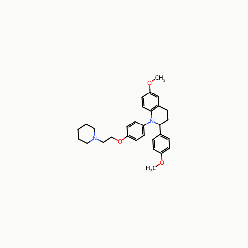 COc1ccc(C2CCc3cc(OC)ccc3N2c2ccc(OCCN3CCCCC3)cc2)cc1